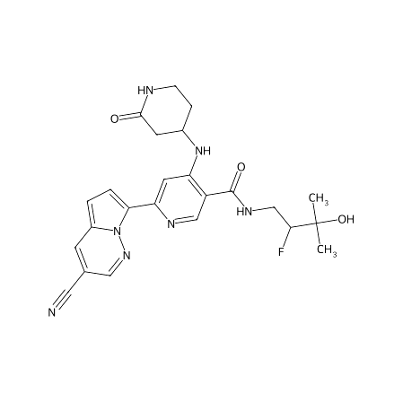 CC(C)(O)C(F)CNC(=O)c1cnc(-c2ccc3cc(C#N)cnn23)cc1NC1CCNC(=O)C1